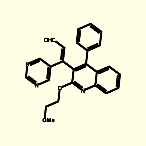 COCCOc1nc2ccccc2c(-c2ccccc2)c1/C(=C/C=O)c1cncnc1